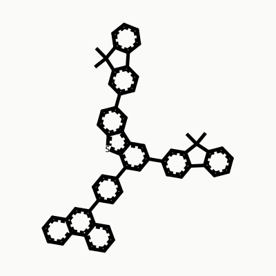 CC1(C)c2ccccc2-c2ccc(-c3ccc4sc5c(-c6ccc(-c7cc8ccccc8c8ccccc78)cc6)cc(-c6ccc7c(c6)C(C)(C)c6ccccc6-7)cc5c4c3)cc21